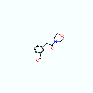 O=Cc1cccc(CC(=O)N2CCOCC2)c1